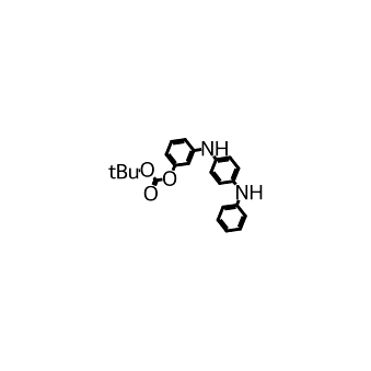 CC(C)(C)OC(=O)Oc1cccc(Nc2ccc(Nc3ccccc3)cc2)c1